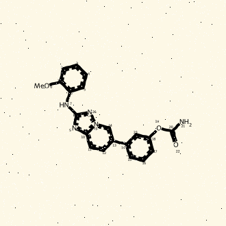 COc1ccccc1Nc1nc2ccc(-c3cccc(OC(N)=O)c3)cn2n1